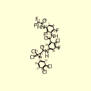 O=C(Nc1c(F)ccc(NC(=O)C(F)F)c1F)c1cc(NC(=O)C2[C@H](c3ccc(Cl)c(Cl)c3)C2(Cl)Cl)cc(F)c1Cl